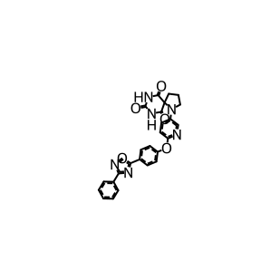 O=C1NC(=O)C2(CCCN2c2ccc(Oc3ccc(-c4nc(-c5ccccc5)no4)cc3)nc2)C(=O)N1